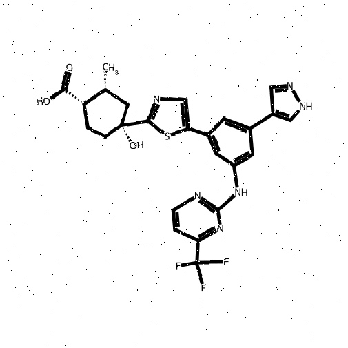 C[C@@H]1C[C@@](O)(c2ncc(-c3cc(Nc4nccc(C(F)(F)F)n4)cc(-c4cn[nH]c4)c3)s2)CC[C@@H]1C(=O)O